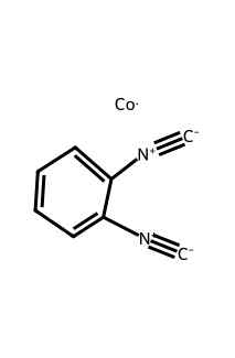 [C-]#[N+]c1ccccc1[N+]#[C-].[Co]